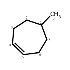 CC1CCC=CCC1